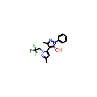 Cc1cc(-c2c(C)nn(-c3ccccc3)c2O)n(CC(F)(F)F)n1